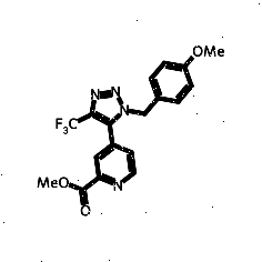 COC(=O)c1cc(-c2c(C(F)(F)F)nnn2Cc2ccc(OC)cc2)ccn1